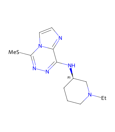 CCN1CCC[C@@H](Nc2nnc(SC)n3ccnc23)C1